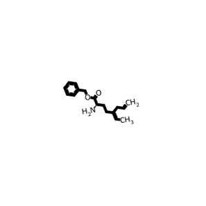 C=CC/C(=C\C)CC[C@H](N)C(=O)OCc1ccccc1